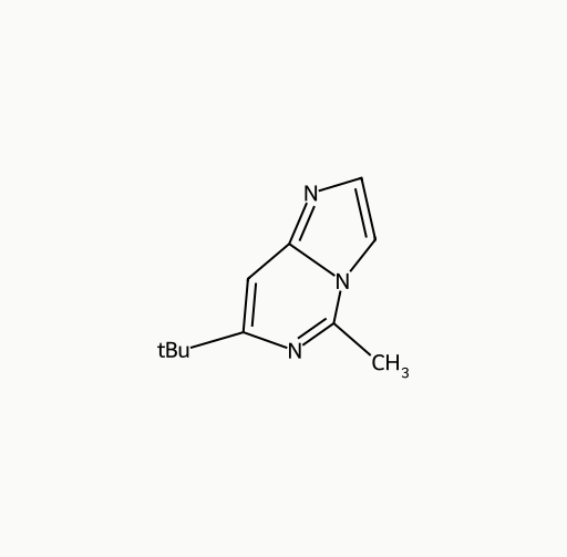 Cc1nc(C(C)(C)C)cc2nccn12